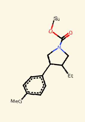 CCC1CN(C(=O)OC(C)(C)C)CC1c1ccc(OC)cc1